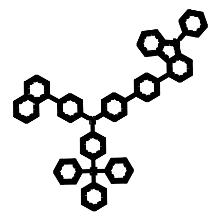 c1ccc(-n2c3ccccc3c3c(-c4ccc(-c5ccc(N(c6ccc(-c7cccc8ccccc78)cc6)c6ccc([Si](c7ccccc7)(c7ccccc7)c7ccccc7)cc6)cc5)cc4)cccc32)cc1